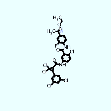 CCO/N=C(\C)c1ccc(NC(=O)c2cc(NC(=O)C3C(c4cc(Cl)cc(Cl)c4)C3(Cl)Cl)ccc2Cl)c(F)c1